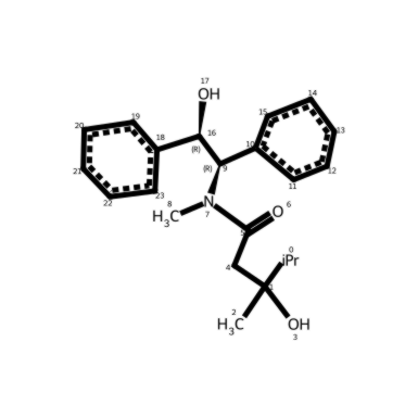 CC(C)C(C)(O)CC(=O)N(C)[C@H](c1ccccc1)[C@H](O)c1ccccc1